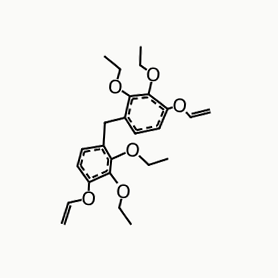 C=COc1ccc(Cc2ccc(OC=C)c(OCC)c2OCC)c(OCC)c1OCC